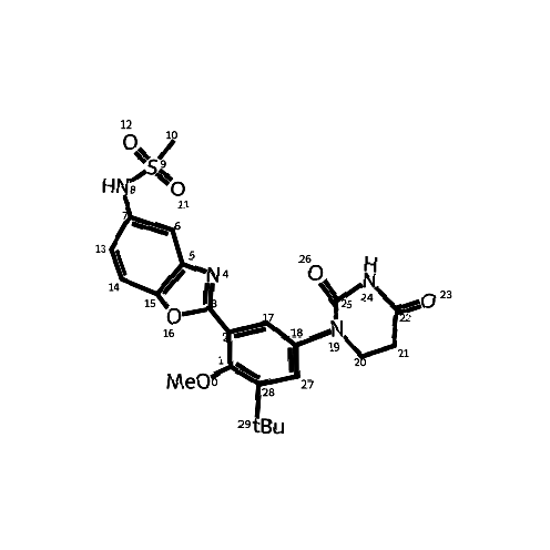 COc1c(-c2nc3cc(NS(C)(=O)=O)ccc3o2)cc(N2CCC(=O)NC2=O)cc1C(C)(C)C